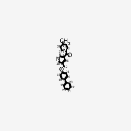 CC1CCN(C(=O)c2cncc(COc3ccc(-c4ccccc4)cc3)c2)CC1